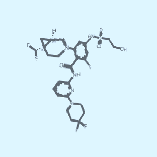 O=C(Nc1cccc(N2CCC(F)(F)CC2)n1)c1c(F)cc(NS(=O)(=O)CCO)cc1N1CC[C@@]2(C(F)F)C[C@H]2C1